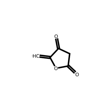 [CH]=C1OC(=O)CC1=O